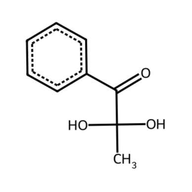 CC(O)(O)C(=O)c1ccccc1